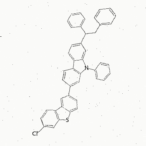 Clc1ccc2c(c1)sc1ccc(-c3ccc4c5ccc(C(Cc6ccccc6)c6ccccc6)cc5n(-c5ccccc5)c4c3)cc12